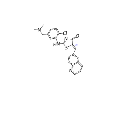 CN(C)Cc1ccc(Cl)c(NC2=NC(=O)/C(=C/c3ccc4ncccc4c3)S2)c1